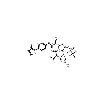 Cc1ncsc1-c1ccc(CNC(=O)[C@@H]2C[C@@H](O[Si](C)(C)C(C)(C)C)CN2C(=O)C(c2cc(O)no2)C(C)C)cc1